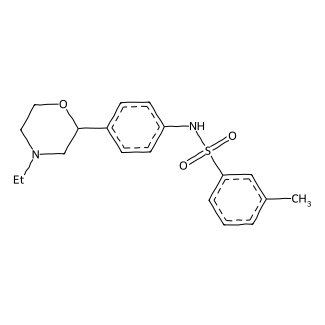 CCN1CCOC(c2ccc(NS(=O)(=O)c3cccc(C)c3)cc2)C1